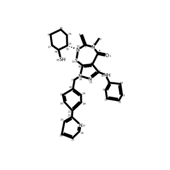 C=C1N(C)C(=O)c2c(Nc3ccccc3)nn(Cc3ccc(-c4ccccn4)cc3)c2SN1[C@H]1CCCCC1S